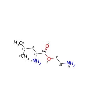 CC(C)C[C@@H](N)C(=O)OCCN